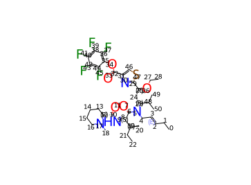 CC/C=C/CN(C(=O)[C@@H](NC(=O)[C@H]1CCCCN1C)[C@@H](C)CC)[C@H](C[C@@H](OCC)c1nc(C(=O)Oc2c(F)c(F)c(F)c(F)c2F)cs1)C(C)C